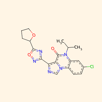 CC(C)n1c(=O)c2c(-c3noc(C4CCCO4)n3)ncn2c2ccc(Cl)cc21